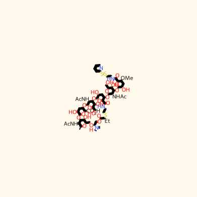 CCC(SCCNC(=O)C1O[C@@H](O[C@@H]2C(NC(C)=O)[C@H](O[C@H]3CC(O)[C@H](O[C@@H]4C(NC(C)=O)[C@H](C)OC(CO)[C@H]4O)OC3C(=O)O)OC(CO)[C@H]2O)C(O)C[C@@H]1O[C@@H]1OC(CO)[C@@H](O)[C@H](O[C@@H]2OC(C(=O)NCCSSc3ccccn3)[C@@H](OC)CC2O)C1NC(C)=O)C(=O)OCCN(C)C